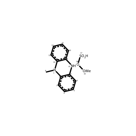 CN1c2ccccc2Nc2ccccc21.COOS(=O)(=O)O